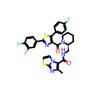 Cc1nc2sccn2c1C(=O)NC[C@@H]1CCCCN1C(=O)c1nc(-c2ccc(F)c(F)c2)sc1-c1ccc(F)cc1